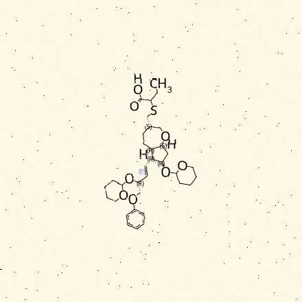 CCC(SC[C@H]1CC[C@@H]2[C@@H](/C=C/[C@H](COc3ccccc3)OC3CCCCO3)[C@H](OC3CCCCO3)C[C@@H]2OC1)C(=O)O